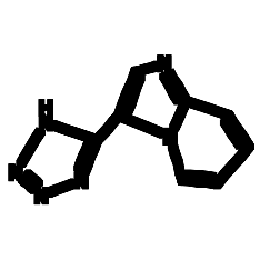 c1ccn2c(-c3nnn[nH]3)cnc2c1